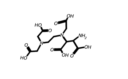 NC(C(=O)O)C(C(=O)O)N(CCN(CC(=O)O)CC(=O)O)CC(=O)O